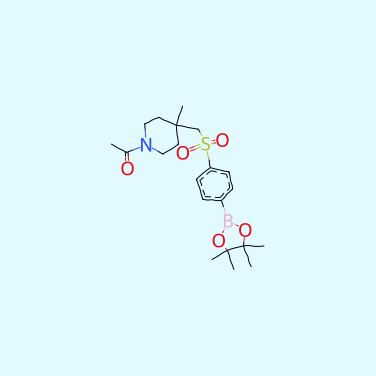 CC(=O)N1CCC(C)(CS(=O)(=O)c2ccc(B3OC(C)(C)C(C)(C)O3)cc2)CC1